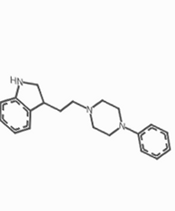 c1ccc(N2CCN(CCC3CNc4ccccc43)CC2)cc1